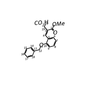 COC(=O)C(=Cc1ccccc1OCc1ccccc1)CC(=O)O